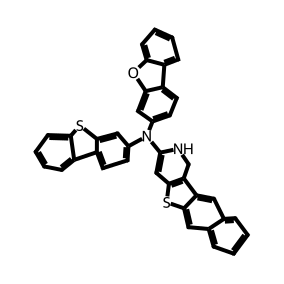 C1=C(N(c2ccc3c(c2)oc2ccccc23)c2ccc3c(c2)sc2ccccc23)NCc2c1sc1cc3ccccc3cc21